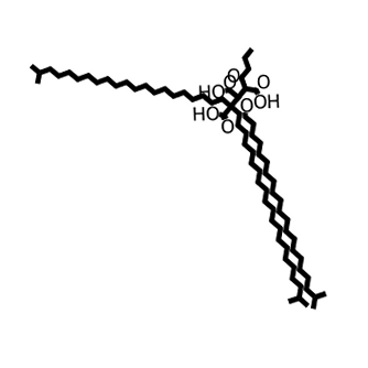 CCCC(=O)C(C(=O)O)C(OCCCCCCCCCCCCCCCCCCCC(C)C)(C(=O)O)C(CCCCCCCCCCCCCCCCCCCC(C)C)(CCCCCCCCCCCCCCCCCCCC(C)C)C(=O)O